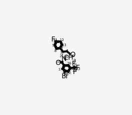 CN(C[C@@H](CC=O)c1ccc(F)cc1)C(=O)c1cc(Br)cc(C(F)(F)F)c1